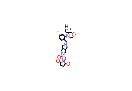 CC1COCCN1c1cc(F)ccc1CN1CC2CN(C(=O)ON3C(=O)CCC3=O)CC2C1